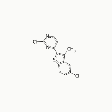 Cc1c(-c2ccnc(Cl)n2)sc2ccc(Cl)cc12